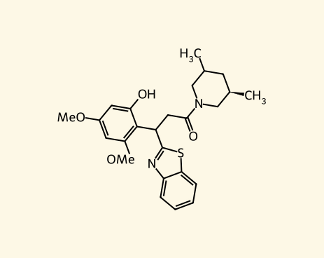 COc1cc(O)c(C(CC(=O)N2CC(C)C[C@@H](C)C2)c2nc3ccccc3s2)c(OC)c1